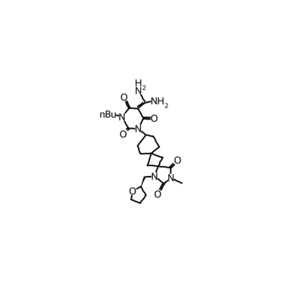 CCCCN1C(=O)C(=C(N)N)C(=O)N(C2CCC3(CC2)CC2(C3)C(=O)N(C)C(=O)N2C[C@H]2CCCO2)C1=O